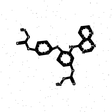 CC(C)(C)OC(=O)Oc1ccc(Sc2ccc(OC(=O)OC(C)(C)C)cc2Nc2ncnc3ncccc23)cc1